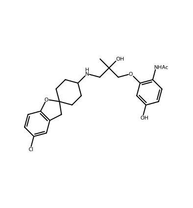 CC(=O)Nc1ccc(O)cc1OCC(C)(O)CNC1CCC2(CC1)Cc1cc(Cl)ccc1O2